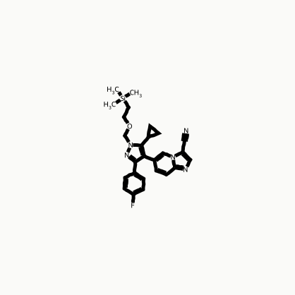 C[Si](C)(C)CCOCn1nc(-c2ccc(F)cc2)c(-c2ccc3ncc(C#N)n3c2)c1C1CC1